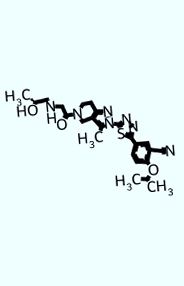 Cc1c2c(nn1-c1nnc(-c3ccc(OC(C)C)c(C#N)c3)s1)CCN(C(=O)CNC[C@H](C)O)C2